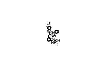 CCOc1ccc2nc([C@H](Cc3cccc(C(N)=NO)c3)NS(=O)(=O)c3ccccc3)sc2c1